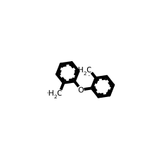 [CH2]c1ccccc1Oc1ccccc1[CH2]